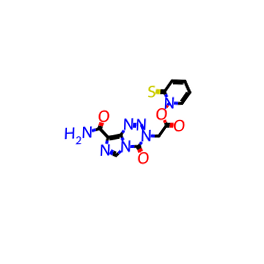 NC(=O)c1ncn2c(=O)n(CC(=O)On3ccccc3=S)nnc12